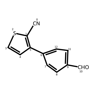 N#Cc1sccc1-c1ccc(C=O)cc1